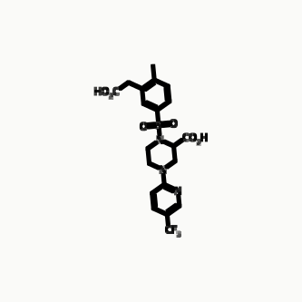 Cc1ccc(S(=O)(=O)N2CCN(c3ccc(C(F)(F)F)cn3)CC2C(=O)O)cc1CC(=O)O